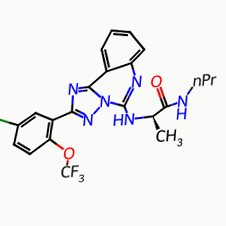 CCCNC(=O)[C@@H](C)Nc1nc2ccccc2c2nc(-c3cc(F)ccc3OC(F)(F)F)nn12